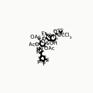 CCN(C)C(=O)C(S[C@@H]1O[C@H](COC(C)=O)[C@H](OC(C)=O)[C@H](n2cc(-c3cc(F)c(F)c(F)c3)nn2)[C@H]1OC(C)=O)C1(O)CCN(C(=O)OC(C)(C)C(Cl)(Cl)Cl)CC1